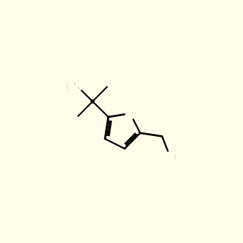 CC(C)(N)c1ccc(CO)o1